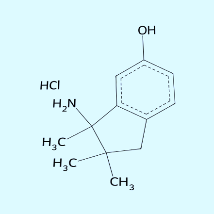 CC1(C)Cc2ccc(O)cc2C1(C)N.Cl